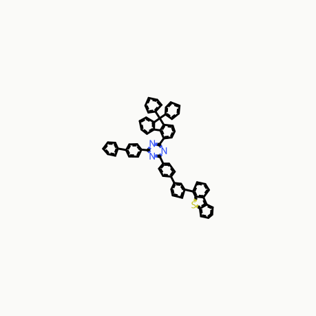 c1ccc(-c2ccc(-c3nc(-c4ccc(-c5cccc(-c6cccc7c6sc6ccccc67)c5)cc4)nc(-c4cccc5c4-c4ccccc4C5(c4ccccc4)c4ccccc4)n3)cc2)cc1